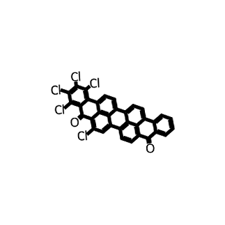 O=C1c2ccccc2-c2ccc3c4ccc5c6c(c(Cl)cc(c7ccc1c2c37)c64)C(=O)c1c(Cl)c(Cl)c(Cl)c(Cl)c1-5